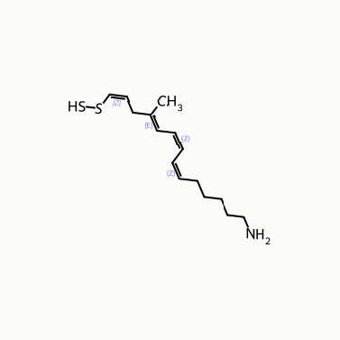 C\C(=C/C=C\C=C/CCCCCN)C/C=C\SS